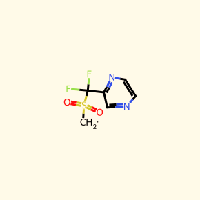 [CH2]S(=O)(=O)C(F)(F)c1cnccn1